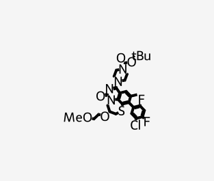 COCCO[C@H]1CSc2c(-c3cc(Cl)c(F)cc3F)c(C)cc3c(N4CCN(C(=O)OC(C)(C)C)CC4)nc(=O)n(c23)C1